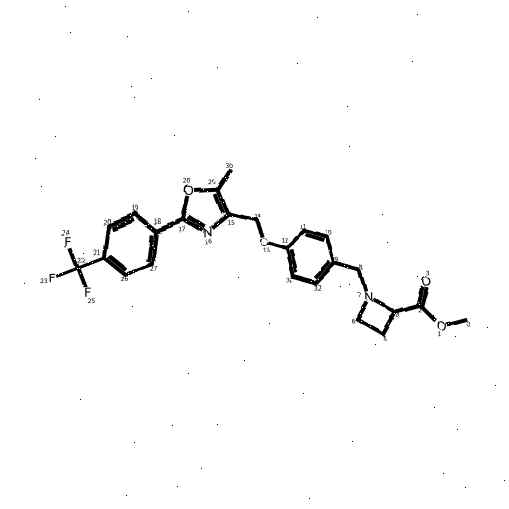 COC(=O)C1CCN1Cc1ccc(OCc2nc(-c3ccc(C(F)(F)F)cc3)oc2C)cc1